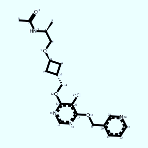 CC(=O)N[C@@H](C)CO[C@H]1C[C@H](COc2ncnc(OCc3cccnc3)c2Cl)C1